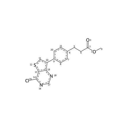 COC(=O)CCc1ccc(-c2csc3c(Cl)ncnc23)cc1